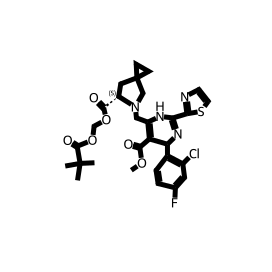 COC(=O)C1=C(CN2CC3(CC3)C[C@H]2C(=O)OCOC(=O)C(C)(C)C)NC(c2nccs2)=NC1c1ccc(F)cc1Cl